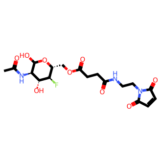 CC(=O)N[C@H]1C(O)O[C@H](COC(=O)CCC(=O)NCCN2C(=O)C=CC2=O)[C@@H](F)[C@@H]1O